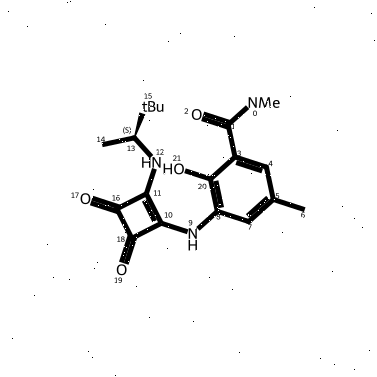 CNC(=O)c1cc(C)cc(Nc2c(N[C@@H](C)C(C)(C)C)c(=O)c2=O)c1O